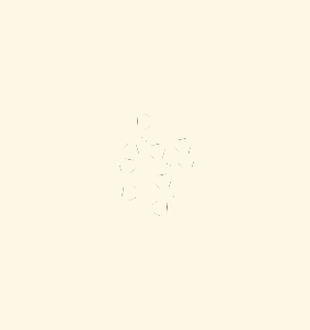 CC1(C)c2ccccc2-c2ccc(N(c3ccc4c(c3)c3c5cc6c(cc5ccc3n4-c3ccccc3)sc3ccccc36)c3cccc4ccccc34)cc21